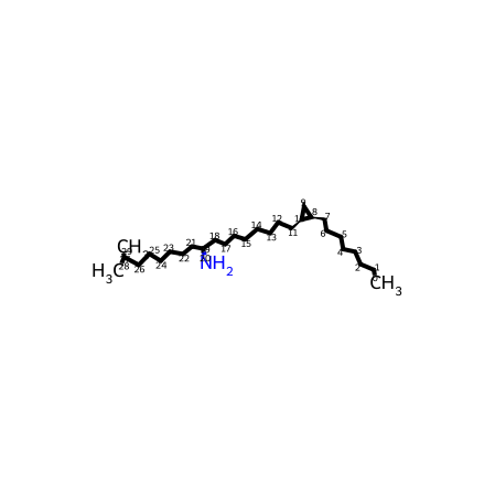 CCCCCCCC[C@@H]1C[C@@H]1CCCCCCCCC(N)CCCCCCC(C)C